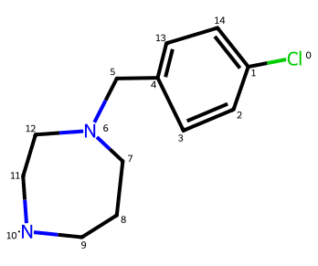 Clc1ccc(CN2CCC[N]CC2)cc1